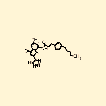 CCCCCc1ccc(C=CC(=O)Nc2cc(C)cc3c(=O)cc(-c4nnn[nH]4)oc23)cc1